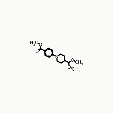 COC(=O)c1ccc(N2CCC(C(OC)OC)CC2)cc1